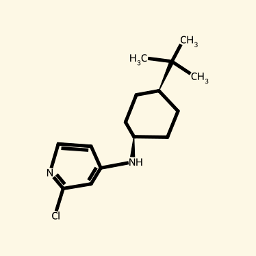 CC(C)(C)[C@H]1CC[C@@H](Nc2ccnc(Cl)c2)CC1